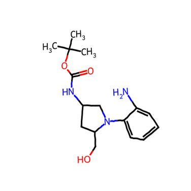 CC(C)(C)OC(=O)NC1CC(CO)N(c2ccccc2N)C1